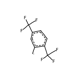 [CH]c1cc(C(F)(F)F)ccc1C(F)(F)F